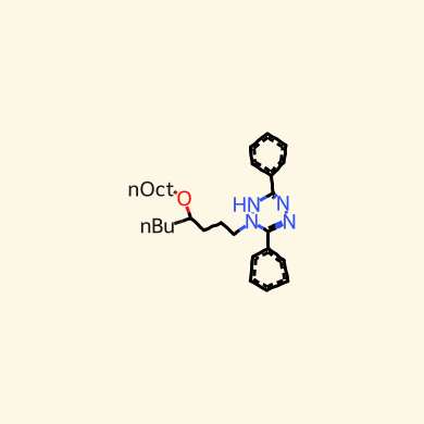 CCCCCCCCOC(CCCC)CCCN1NC(c2ccccc2)=NN=C1c1ccccc1